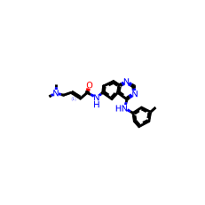 Cc1cccc(Nc2ncnc3ccc(NC(=O)/C=C/CN(C)C)cc23)c1